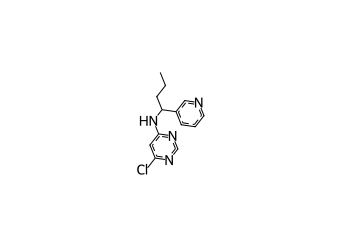 CCCC(Nc1cc(Cl)ncn1)c1cccnc1